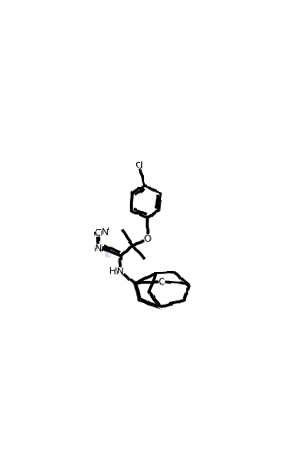 CC(C)(Oc1ccc(Cl)cc1)/C(=N\C#N)NC12CC3CC(CC1C3)C2